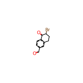 O=Cc1ccc2c(c1)CCC(Br)C2=O